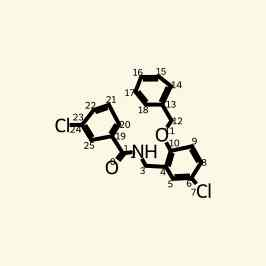 O=C(NCc1cc(Cl)ccc1OCc1ccccc1)c1cccc(Cl)c1